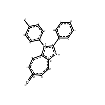 Cc1ccc(-n2c(-c3ccccc3)nc3ccc(=O)ccc32)cc1